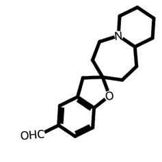 O=Cc1ccc2c(c1)CC1(CCC3CCCCN3CC1)O2